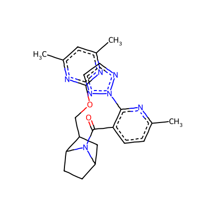 Cc1cc(C)nc(OCC2CC3CCC2N3C(=O)c2ccc(C)nc2-n2nccn2)n1